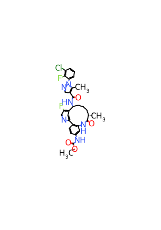 COC(=O)Nc1ccc2c(c1)NC(=O)[C@@H](C)CCC[C@H](NC(=O)c1cnn(-c3cccc(Cl)c3F)c1C)c1cc-2ncc1F